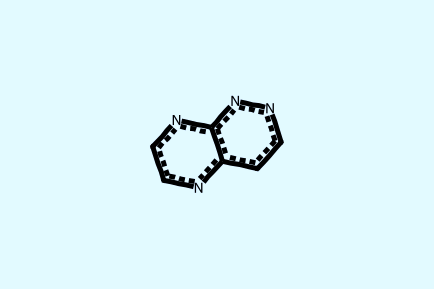 c1cc2nccnc2nn1